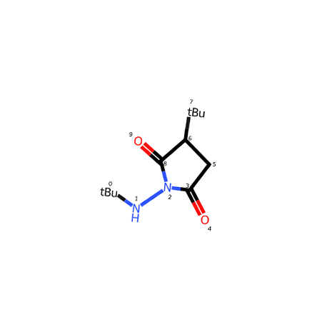 CC(C)(C)NN1C(=O)CC(C(C)(C)C)C1=O